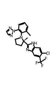 Cc1cc[c]c(-n2nccn2)c1N1CCC[C@@]1(C)c1nc2cc(C(F)(F)F)c(Cl)cc2[nH]1